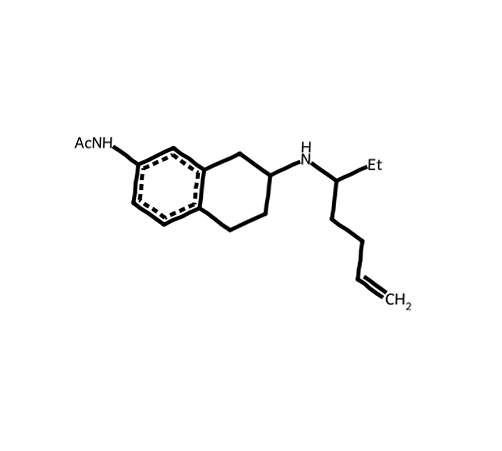 C=CCCC(CC)NC1CCc2ccc(NC(C)=O)cc2C1